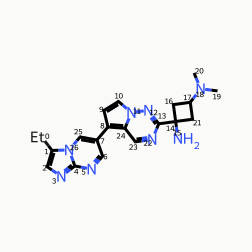 CCc1cnc2ncc(-c3ccn4nc(C5(N)CC(N(C)C)C5)ncc34)cn12